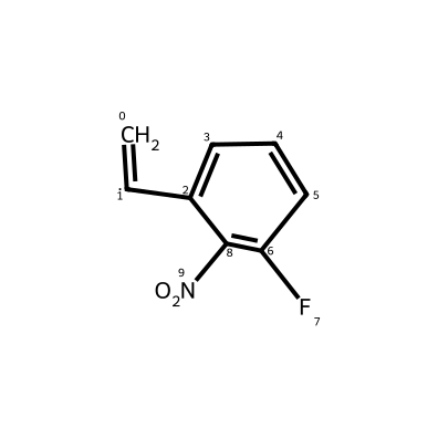 C=[C]c1cccc(F)c1[N+](=O)[O-]